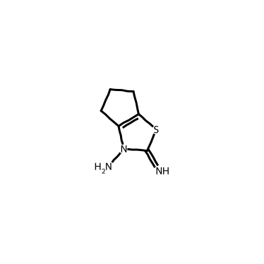 N=c1sc2c(n1N)CCC2